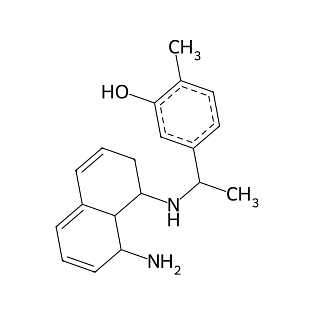 Cc1ccc(C(C)NC2CC=CC3=CC=CC(N)C32)cc1O